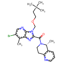 Cc1c(Br)cnc2c1nc(C(=O)N1CCc3ncccc3[C@H]1C)n2COCC[Si](C)(C)C